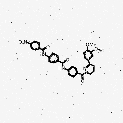 CCOc1cc(C2=NN(C(=O)c3ccc(NC(=O)c4ccc(NC(=O)c5ccc([N+](=O)[O-])cc5)cc4)cc3)CCC2)ccc1OC